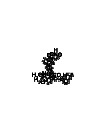 Cc1nn(C)c(C)c1-c1c(Cl)ccc2c(CCCOc3cccc4cc(F)ccc34)c(C(=O)O)n(CCN3CCN(c4cccc5c4C(=O)N(C4CCC(=O)NC4=O)C5=O)CC3)c12